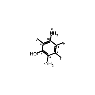 Cc1c(C)c(N)c(O)c(C)c1N